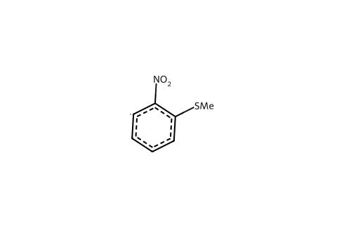 CSc1ccc[c]c1[N+](=O)[O-]